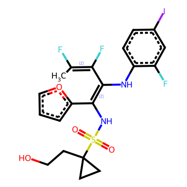 C/C(F)=C(F)\C(Nc1ccc(I)cc1F)=C(\NS(=O)(=O)C1(CCO)CC1)c1ccco1